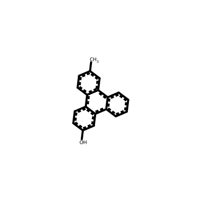 Cc1ccc2c3ccc(O)cc3c3ccccc3c2c1